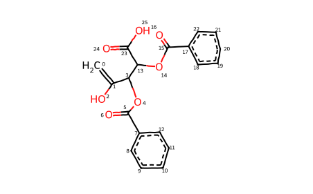 C=C(O)C(OC(=O)c1ccccc1)C(OC(=O)c1ccccc1)C(=O)O